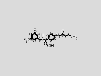 Cl.NC/C=C(\F)COc1ccc(C(=O)NCc2cc(F)cc(C(F)(F)F)c2)cc1